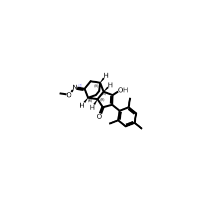 CO/N=C1/C[C@H]2CC[C@@H]1[C@H]1C(=O)C(c3c(C)cc(C)cc3C)=C(O)[C@@H]21